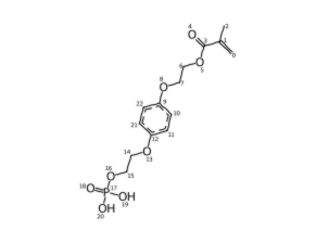 C=C(C)C(=O)OCCOc1ccc(OCCOP(=O)(O)O)cc1